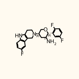 N[C@H]1C[C@@H](N2CCc3[nH]c4ccc(F)cc4c3C2)CO[C@@H]1c1cc(F)ccc1F